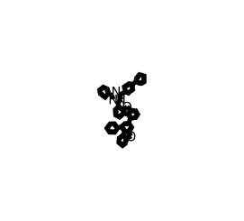 c1ccc(-c2ccc(-c3nc(-c4ccccc4)nc(-c4cccc5c4oc4cccc(-c6cc(-c7ccccc7)c7c(c6)oc6ccccc67)c45)n3)cc2)cc1